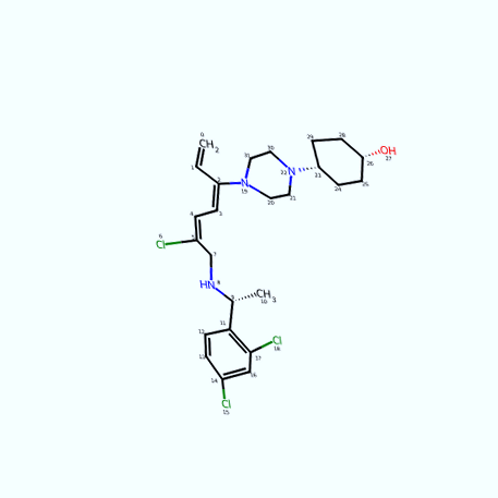 C=C/C(=C\C=C(\Cl)CN[C@H](C)c1ccc(Cl)cc1Cl)N1CCN([C@H]2CC[C@@H](O)CC2)CC1